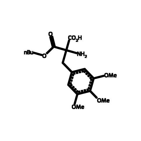 CCCCOC(=O)C(N)(Cc1cc(OC)c(OC)c(OC)c1)C(=O)O